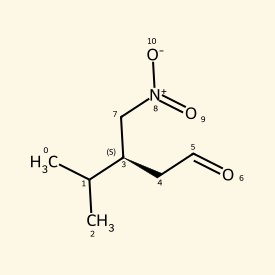 CC(C)[C@H](CC=O)C[N+](=O)[O-]